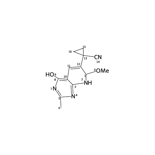 COC1Nc2nc(C)nc(O)c2C=C1C1(C#N)CC1